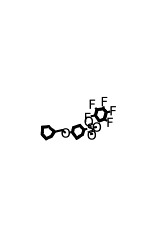 O=S(=O)(Oc1c(F)c(F)c(F)c(F)c1F)c1ccc(OCc2ccccc2)cc1